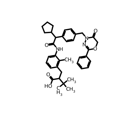 Cc1c(CC(C(=O)O)C(C)(C)C)cccc1NC(=O)C(c1ccc(CN2N=C(c3ccccc3)OCC2=O)cc1)C1CCCC1